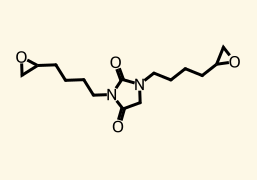 O=C1CN(CCCCC2CO2)C(=O)N1CCCCC1CO1